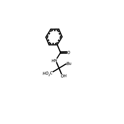 CCC(C)C(O)(NC(=O)c1ccccc1)C(=O)O